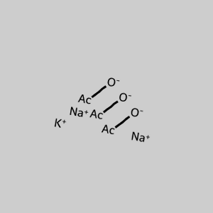 CC(=O)[O-].CC(=O)[O-].CC(=O)[O-].[K+].[Na+].[Na+]